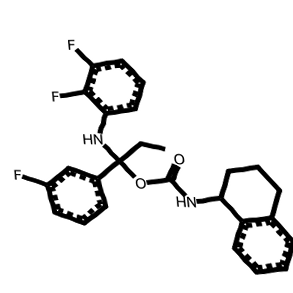 CCC(Nc1cccc(F)c1F)(OC(=O)NC1CCCc2ccccc21)c1cccc(F)c1